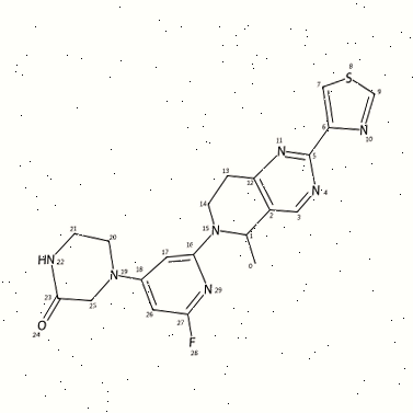 CC1c2cnc(-c3cscn3)nc2CCN1c1cc(N2CCNC(=O)C2)cc(F)n1